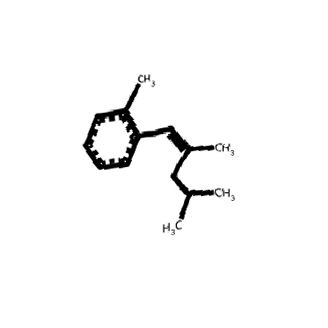 CC(=Cc1ccccc1C)CC(C)C